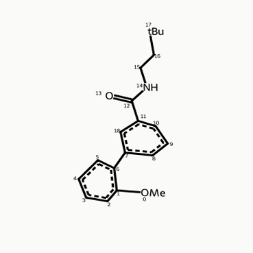 COc1ccccc1-c1cccc(C(=O)NCCC(C)(C)C)c1